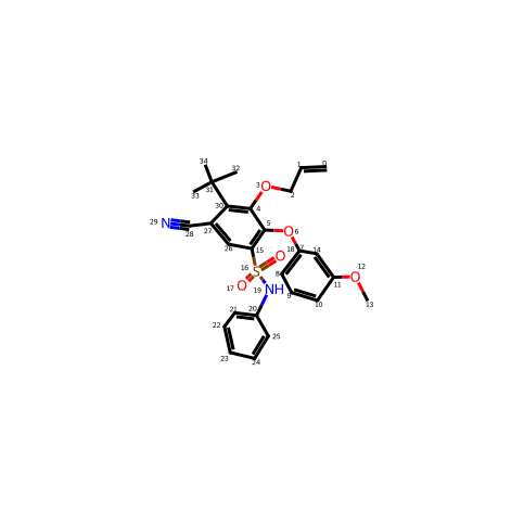 C=CCOc1c(Oc2cccc(OC)c2)c(S(=O)(=O)Nc2ccccc2)cc(C#N)c1C(C)(C)C